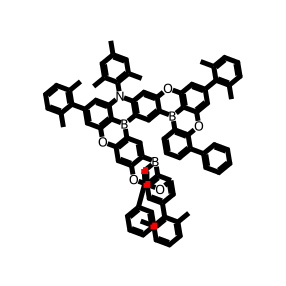 Cc1cc(C)c(N2c3cc4c(cc3B3c5cc6c(cc5Oc5cc(-c7c(C)cccc7C)cc2c53)Oc2cc(-c3c(C)cccc3C)cc3c2B6c2cccc(-c5ccccc5)c2O3)B2c3cccc(-c5ccccc5)c3Oc3cc(-c5c(C)cccc5C)cc(c32)O4)c(C)c1